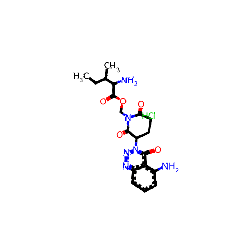 CCC(C)C(N)C(=O)OCN1C(=O)CCC(n2nnc3cccc(N)c3c2=O)C1=O.Cl